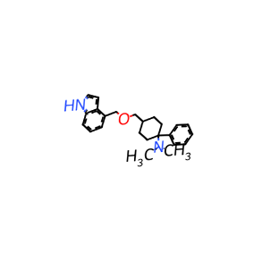 CN(C)C1(c2ccccc2)CCC(COCc2cccc3[nH]ccc23)CC1